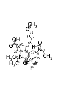 CCn1c(=O)n(CCCCOC)c2cc(C(=O)N(C(C)C)[C@@H]3CCCN(C(=O)O)C3)c(C(F)(F)F)cc21